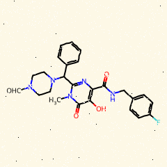 Cn1c(C(c2ccccc2)N2CCN(C=O)CC2)nc(C(=O)NCc2ccc(F)cc2)c(O)c1=O